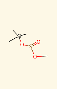 COS(=O)O[Si](C)(C)C